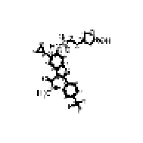 CNC(=O)c1c(-c2ccc(C(F)(F)F)cc2)oc2cc(NS(=O)(=O)CCC3COB(O)C3)c(C3CC3)cc12